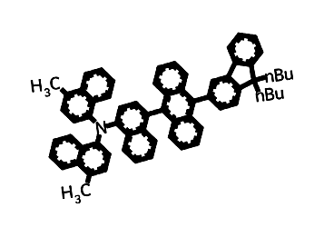 CCCCC1(CCCC)c2ccccc2-c2cc(-c3c4ccccc4c(-c4ccc(N(c5ccc(C)c6ccccc56)c5ccc(C)c6ccccc56)c5ccccc45)c4ccccc34)ccc21